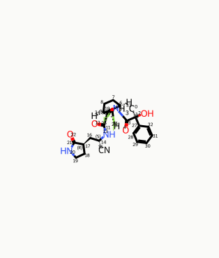 C[C@@](O)(C(=O)N1[C@@H]2CC[C@H]([C@@H]1C(=O)N[C@H](C#N)C[C@H]1CCNC1=O)C(F)(F)C2)c1ccccc1